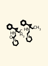 CCC1(NCC(=O)N2CCCCC2)CC1c1ccccc1.CCC1(NCCN2CCCCC2)CC1c1ccccc1